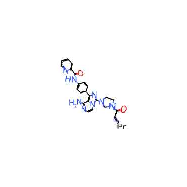 CC(C)/C=C/C(=O)N1CCN(c2nc(-c3ccc(NC(=O)c4ccccn4)cc3)c3c(N)nccn23)C1